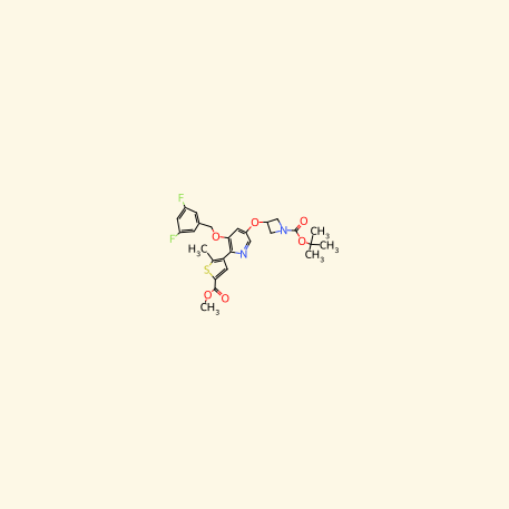 COC(=O)c1cc(-c2ncc(OC3CN(C(=O)OC(C)(C)C)C3)cc2OCc2cc(F)cc(F)c2)c(C)s1